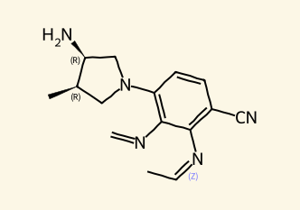 C=Nc1c(N2C[C@@H](C)[C@@H](N)C2)ccc(C#N)c1/N=C\C